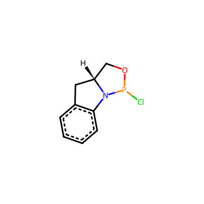 ClP1OC[C@H]2Cc3ccccc3N21